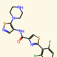 O=C(Nc1cnsc1N1CCNCC1)c1csc(-c2c(F)cccc2F)n1